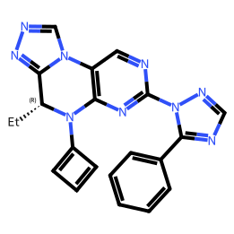 CC[C@@H]1c2nncn2-c2cnc(-n3ncnc3-c3ccccc3)nc2N1C1=CC=C1